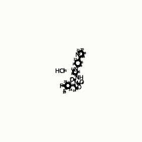 C[C@@H]1OC(=O)N(C(=O)N[C@@H]2CCN(C3CCC(c4ccccn4)CC3)C2)[C@H]1c1ccc(F)c(F)c1.Cl